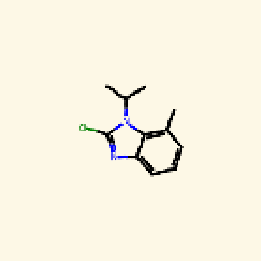 Cc1cccc2nc(Cl)n(C(C)C)c12